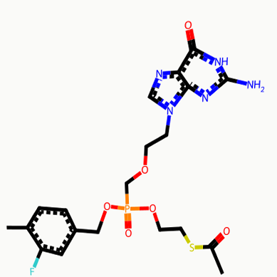 CC(=O)SCCOP(=O)(COCCn1cnc2c(=O)[nH]c(N)nc21)OCc1ccc(C)c(F)c1